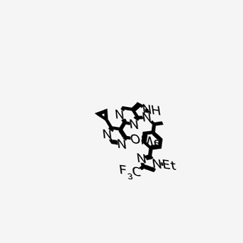 CCn1cc(C(F)(F)F)nc1-c1ccc(C(C)N2NC=C3CN=C(c4c(OC)ncnc4C4CC4)N=C32)cc1